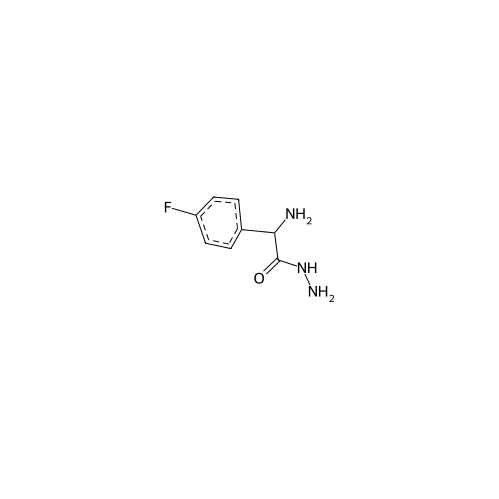 NNC(=O)C(N)c1ccc(F)cc1